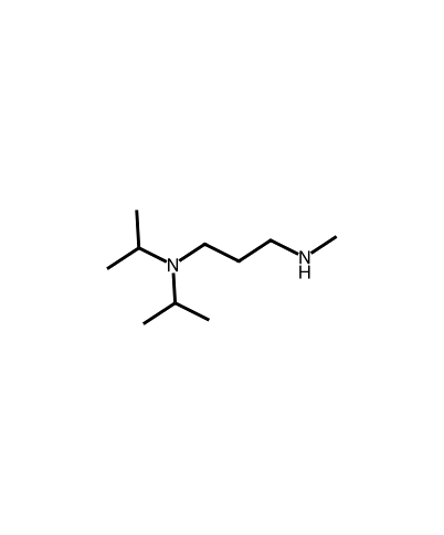 CNCCCN(C(C)C)C(C)C